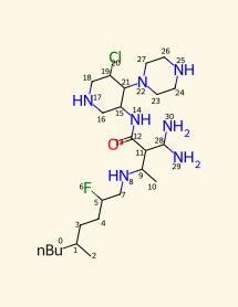 CCCCC(C)CCC(F)CNC(C)C(C(=O)NC1CNCC(Cl)C1N1CCNCC1)C(N)N